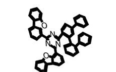 c1ccc(-c2ccc(-c3nc(-c4cccc5c4oc4ccccc45)nc(-c4cccc5c4oc4ccccc45)n3)c(-c3ccccc3-c3ccccc3)c2)cc1